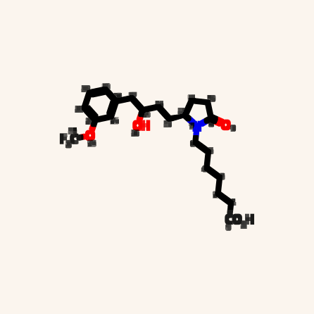 O=C(O)CCCCCCN1C(=O)CC[C@@H]1CCC(O)Cc1cccc(OC(F)(F)F)c1